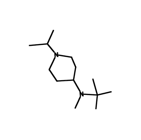 CC(C)N1CCC(N(C)C(C)(C)C)CC1